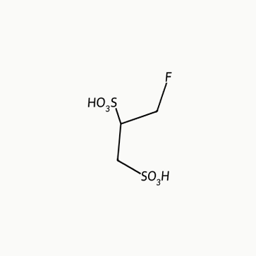 O=S(=O)(O)CC(CF)S(=O)(=O)O